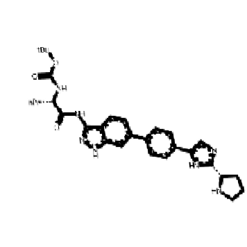 CCC[C@H](NC(=O)OC(C)(C)C)C(=O)Nc1n[nH]c2cc(-c3ccc(-c4cnc([C@@H]5CCCN5)[nH]4)cc3)ccc12